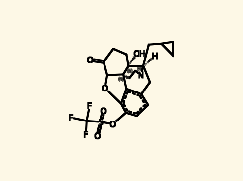 O=C1CC[C@@]2(O)[C@H]3Cc4ccc(OS(=O)(=O)C(F)(F)F)c5c4[C@@]2(CCN3CC2CC2)C1O5